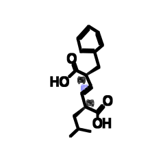 CC(C)C[C@@H](/C=C/[C@H](Cc1ccccc1)C(=O)O)C(=O)O